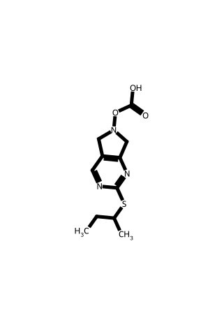 CCC(C)Sc1ncc2c(n1)CN(OC(=O)O)C2